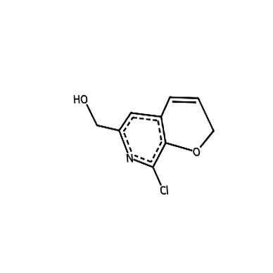 OCc1cc2c(c(Cl)n1)OCC=C2